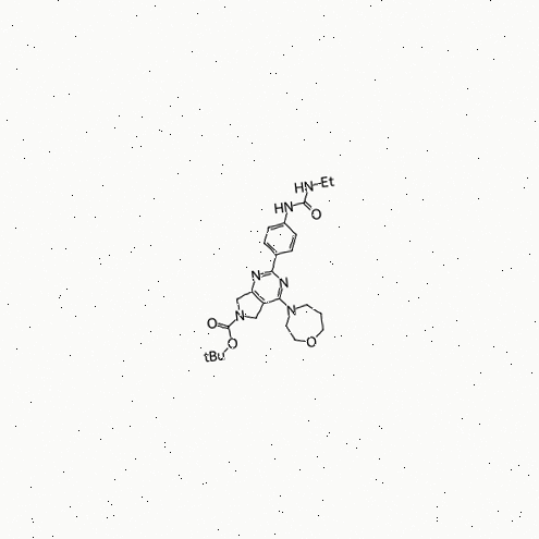 CCNC(=O)Nc1ccc(-c2nc3c(c(N4CCCOCC4)n2)CN(C(=O)OC(C)(C)C)C3)cc1